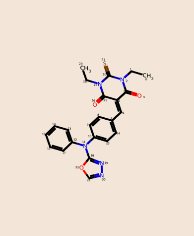 CCN1C(=O)C(=Cc2ccc(N(c3ccccc3)c3nnco3)cc2)C(=O)N(CC)C1=S